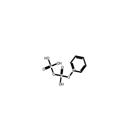 O=P(O)(O)OP(=O)(O)O[n+]1ccccc1